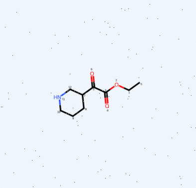 CCOC(=O)C(=O)C1CCCNC1